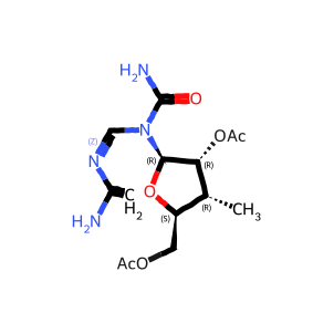 C=C(N)/N=C\N(C(N)=O)[C@@H]1O[C@H](COC(C)=O)[C@@H](C)[C@H]1OC(C)=O